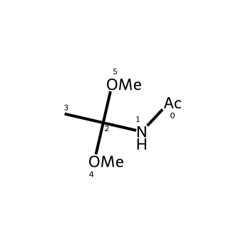 [CH2]C(=O)NC(C)(OC)OC